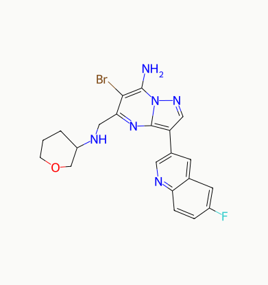 Nc1c(Br)c(CNC2CCCOC2)nc2c(-c3cnc4ccc(F)cc4c3)cnn12